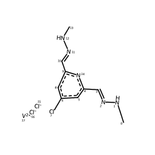 CNN=Cc1cc(Cl)cc(C=NNC)n1.[Cl-].[Cl-].[V+2]